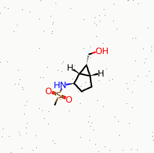 CS(=O)(=O)N[C@@H]1CC[C@H]2[C@@H](CO)[C@H]21